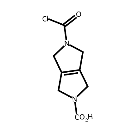 O=C(O)N1CC2=C(C1)CN(C(=O)Cl)C2